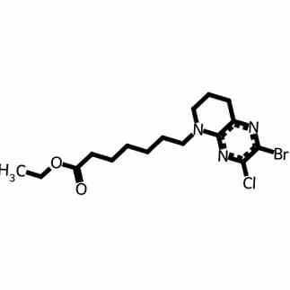 CCOC(=O)CCCCCCN1CCCc2nc(Br)c(Cl)nc21